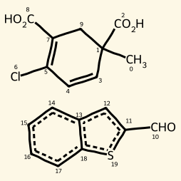 CC1(C(=O)O)C=CC(Cl)=C(C(=O)O)C1.O=Cc1cc2ccccc2s1